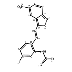 CCC(=O)Nc1cc(I)ccc1/N=N/c1snc2ccc([N+](=O)[O-])cc12